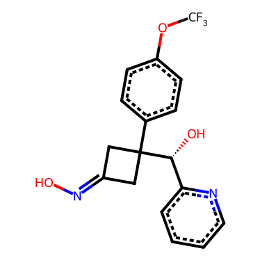 ON=C1CC(c2ccc(OC(F)(F)F)cc2)([C@H](O)c2ccccn2)C1